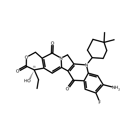 CC[C@@]1(O)C(=O)OCc2c1cc1n(c2=O)Cc2c-1c(=O)c1cc(F)c(N)cc1n2C1CCC(C)(C)CC1